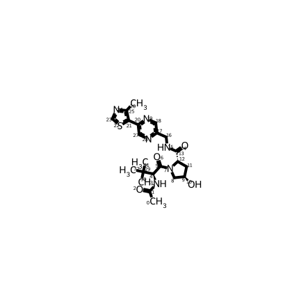 CC(=O)N[C@H](C(=O)N1C[C@H](O)C[C@H]1C(=O)NCc1cnc(-c2scnc2C)cn1)C(C)(C)C